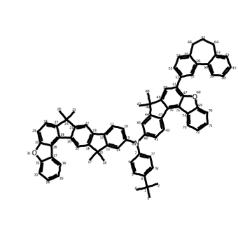 CC(C)(C)c1ccc(N(c2ccc3c(c2)C(C)(C)c2cc4c(cc2-3)C(C)(C)c2ccc3oc5ccccc5c3c2-4)c2ccc3c(c2)C(C)(C)c2cc(-c4ccc5c(c4)-c4ccccc4CCC5)c4oc5ccccc5c4c2-3)cc1